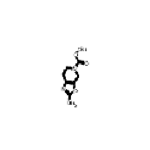 Bc1nc2c(o1)CN(C(=O)OC(C)(C)C)CC2